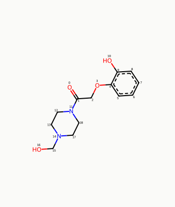 O=C(COc1ccccc1O)N1CCN(CO)CC1